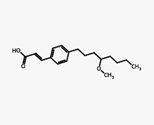 CCCCC(CCCc1ccc(C=CC(=O)O)cc1)OC